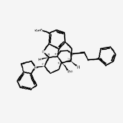 COc1ccc2c3c1O[C@H]1[C@H](N4CCc5ccccc54)CC[C@@]4(O)[C@@H](C2)N(CCc2ccccc2)CC[C@]314